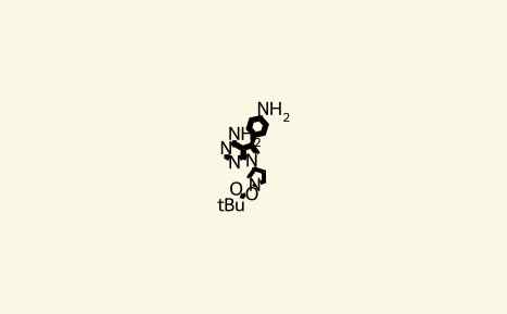 CC(C)(C)C(=O)ON1CCC(n2cc(-c3ccc(N)cc3)c3c(N)ncnc32)C1